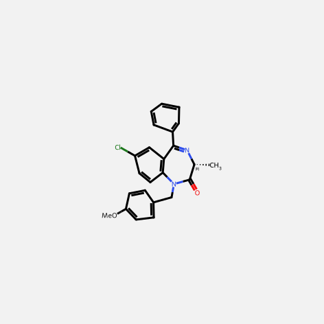 COc1ccc(CN2C(=O)[C@@H](C)N=C(c3ccccc3)c3cc(Cl)ccc32)cc1